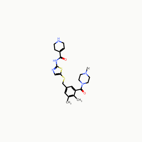 CC(=O)N1CCN(C(=O)c2cc(CSc3cnc(NC(=O)C4=CCNCC4)s3)cc(C)c2C)CC1